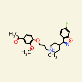 COc1cc(C(C)=O)ccc1OCCC[N+]1(C)CCC(c2noc3cc(F)ccc23)CC1